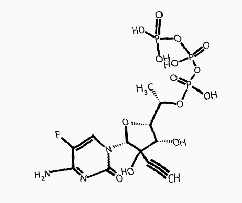 C#CC1(O)[C@@H](O)[C@@H]([C@H](C)OP(=O)(O)OP(=O)(O)OP(=O)(O)O)O[C@H]1n1cc(F)c(N)nc1=O